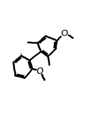 COc1cc(C)c(-c2[c]cccc2OC)c(C)c1